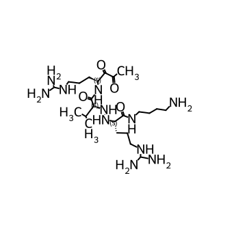 CC(=O)C(=O)[C@H](CCCNC(N)N)NC(=O)[C@@H](NN[C@@H](CCCNC(N)N)C(=O)NCCCCN)C(C)C